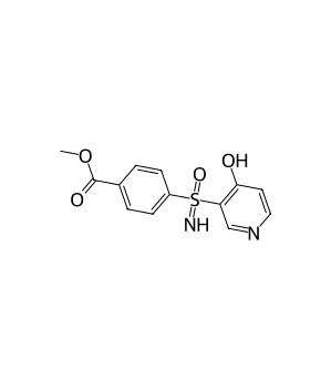 COC(=O)c1ccc(S(=N)(=O)c2cnccc2O)cc1